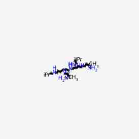 CC(C)CCNCCCCN(CCNCC(CCCNCCC(C)N)NCCC(C)C)CCC(C)N